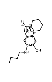 CCCCNc1cc2c(cc1O)[C@@]13CCCC[C@H]1[C@@H](C2)NCC3